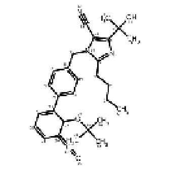 CCCCc1nc(C(C)(C)O)c(C#N)n1Cc1ccc(C2=CC=CC(=C=O)C2OC(C)(C)C)cc1